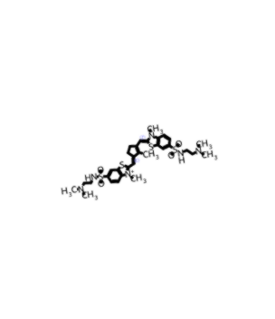 CC1=C(/C=C2\Sc3cc(S(=O)(=O)NCCN(C)C)ccc3N2C)CC/C1=C\c1sc2cc(S(=O)(=O)NCCN(C)C)ccc2[n+]1C